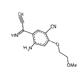 C#CC(=N)c1cc(C#N)c(OCCOC)cc1N